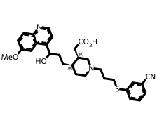 COc1ccc2nccc(C(O)CC[C@@H]3CCN(CCCSc4cccc(C#N)c4)C[C@@H]3CC(=O)O)c2c1